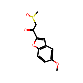 COc1ccc2oc(C(=O)C[S+](C)[O-])cc2c1